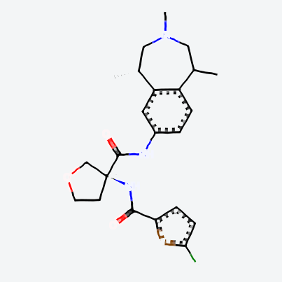 CC1CN(C)C[C@@H](C)c2cc(NC(=O)[C@]3(NC(=O)c4ccc(Cl)s4)CCOC3)ccc21